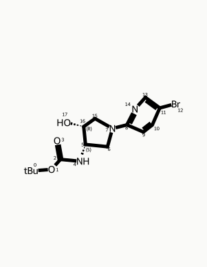 CC(C)(C)OC(=O)N[C@H]1CN(c2ccc(Br)cn2)C[C@H]1O